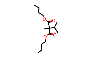 CCCCOC(=O)C(C)(C(=O)OCCCC)C(C)C